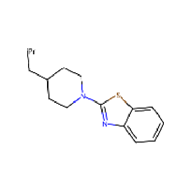 CC(C)CC1CCN(c2nc3ccccc3s2)CC1